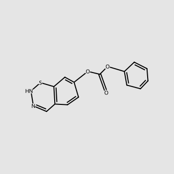 O=C(Oc1ccccc1)Oc1ccc2c(c1)SNN=C2